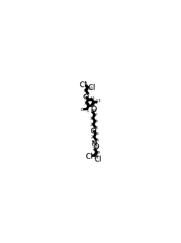 CCc1cc(OCC=C(Cl)Cl)cc(C)c1OCCCCCCOCC/C=N/OCC=C(Cl)Cl